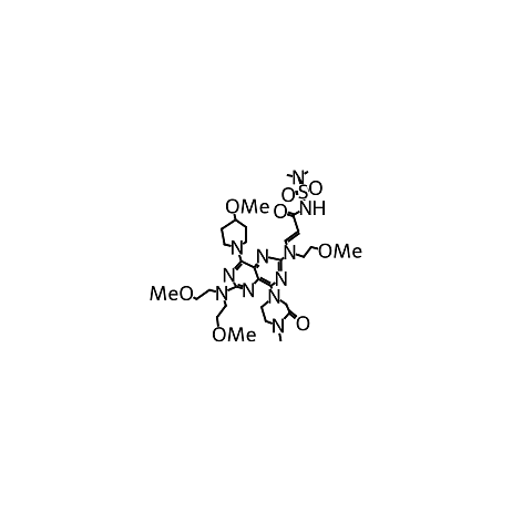 COCCN(C=CC(=O)NS(=O)(=O)N(C)C)c1nc(N2CCN(C)C(=O)C2)c2nc(N(CCOC)CCOC)nc(N3CCC(OC)CC3)c2n1